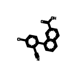 N#Cc1cc(Cl)ccc1-c1cccc2ccc(C(=O)O)cc12